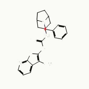 COc1c(OC(=O)NC2CC3CCC(C2)N3Cc2ccccc2)sc2ncccc12